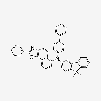 CC1(C)c2ccccc2-c2cc(N(c3ccc(-c4ccccc4)cc3)c3cccc4c3ccc3nc(-c5ccccc5)oc34)ccc21